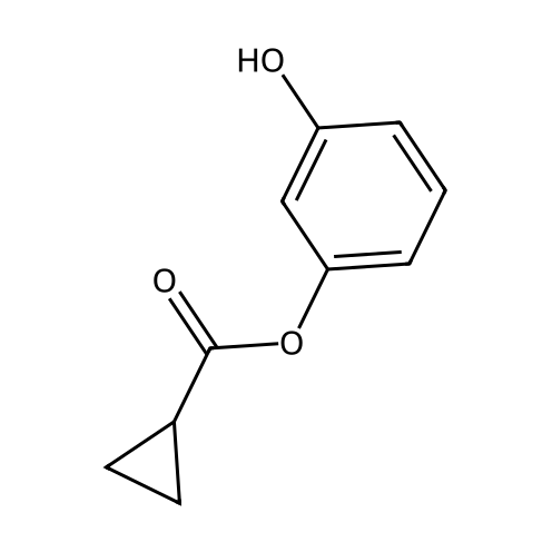 O=C(Oc1cccc(O)c1)C1CC1